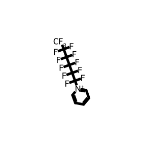 FC(F)(F)C(F)(F)C(F)(F)C(F)(F)C(F)(F)C(F)(F)[n+]1ccccc1